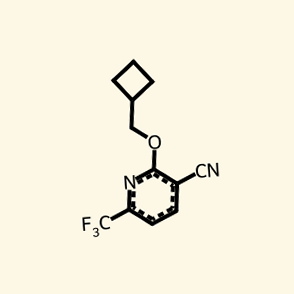 N#Cc1ccc(C(F)(F)F)nc1OCC1CCC1